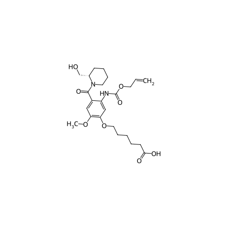 C=CCOC(=O)Nc1cc(OCCCCCC(=O)O)c(OC)cc1C(=O)N1CCCC[C@H]1CO